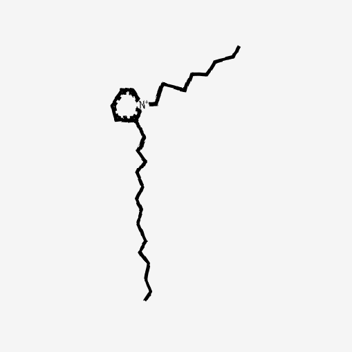 CCCCCCCCCCCCCCc1cccc[n+]1CCCCCCCC